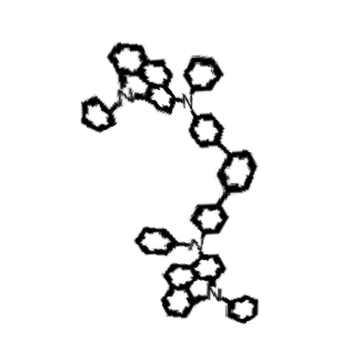 c1ccc(N(c2ccc(-c3cccc(-c4ccc(N(c5ccccc5)c5ccc6c7c5ccc5cccc(c57)n6-c5ccccc5)cc4)c3)cc2)c2ccc3c4c2ccc2cccc(c24)n3-c2ccccc2)cc1